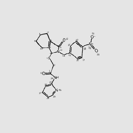 O=C(CSC1C2=C(CCCC2)C(=O)N1Cc1ccc([N+](=O)[O-])cc1)Nc1ccccn1